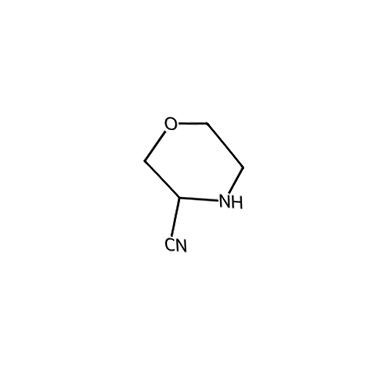 N#CC1COCCN1